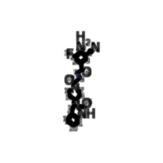 N#Cc1cc(C(=O)/C=C/C(=O)N2CCC(N3Cc4ccccc4NC3=O)CC2)cc(F)c1N